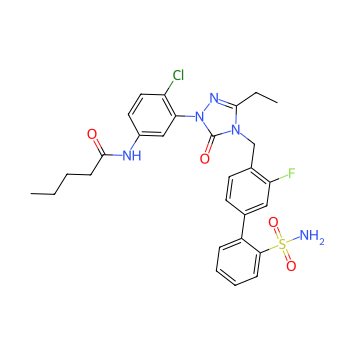 CCCCC(=O)Nc1ccc(Cl)c(-n2nc(CC)n(Cc3ccc(-c4ccccc4S(N)(=O)=O)cc3F)c2=O)c1